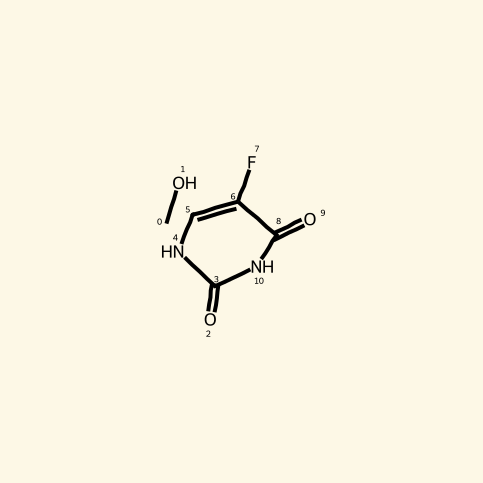 CO.O=c1[nH]cc(F)c(=O)[nH]1